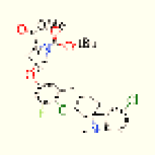 COC(=O)[C@@H]1C[C@H](Oc2cc(F)c(Cl)c(C[C@H]3CC[C@](c4cccc(Cl)c4)(N(C)C)CC3)c2)CN1C(=O)OC(C)(C)C